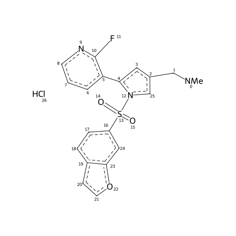 CNCc1cc(-c2cccnc2F)n(S(=O)(=O)c2ccc3ccoc3c2)c1.Cl